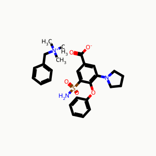 C[N+](C)(C)Cc1ccccc1.NS(=O)(=O)c1cc(C(=O)[O-])cc(N2CCCC2)c1Oc1ccccc1